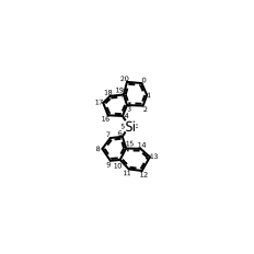 c1ccc2c([Si]c3cccc4ccccc34)cccc2c1